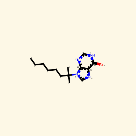 CCCCCCC(C)(C)n1cnc2c(=O)[nH]cnc21